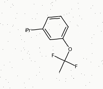 CC(C)c1cccc(OC(C)(F)F)c1